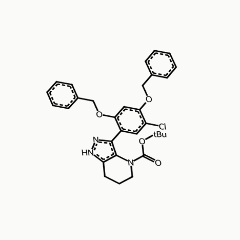 CC(C)(C)OC(=O)N1CCCc2[nH]nc(-c3cc(Cl)c(OCc4ccccc4)cc3OCc3ccccc3)c21